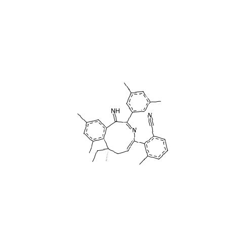 CC[C@]1(C)C/C=C(c2c(C)cccc2C#N)\N=C(\c2cc(C)cc(C)c2)C(=N)c2cc(C)cc(C)c21